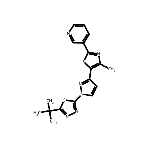 Cc1nc(-c2cccnc2)sc1-c1ccn(-c2nnc(C(C)(C)C)s2)n1